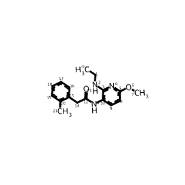 CCNc1nc(OC)ccc1NC(=O)Cc1ccccc1C